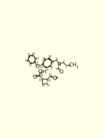 CCCN(C=O)Cc1ccc(Oc2ccccc2)cc1.O=CC1CCC1C(=O)O